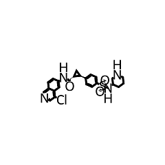 O=C(Nc1ccc2cncc(Cl)c2c1)[C@@H]1C[C@H]1c1ccc(S(=O)(=O)N[C@@H]2CCCNC2)cc1